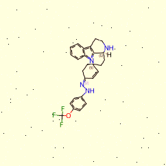 FC(F)(F)Oc1ccc(N/N=C2\C=C[C@@]3(CC2)CC[C@@H]2NCCc4c2n3c2ccccc42)cc1